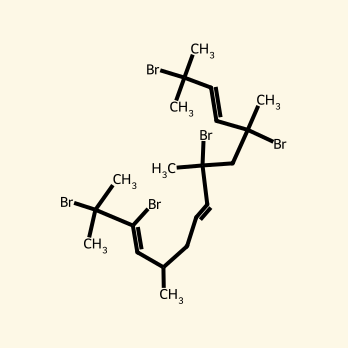 CC(C=C(Br)C(C)(C)Br)CC=CC(C)(Br)CC(C)(Br)C=CC(C)(C)Br